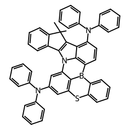 CC1(C)c2ccccc2-c2c1c1c(N(c3ccccc3)c3ccccc3)ccc3c1n2-c1cc(N(c2ccccc2)c2ccccc2)cc2c1B3c1ccccc1S2